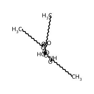 CCCCCCCCCCCCCCCC(=O)NCCOP(=O)(O)OCC(COC(=O)CCCCCCCCCCCCCCC)OC(=O)CCCCCCCCCCCCCCC